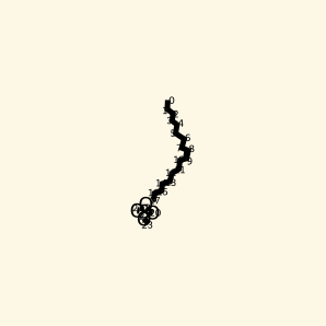 CCCCCCCC/C=C\CCCCCCCCOS(=O)(=O)OC